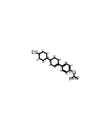 CCC1CCC(C2CC=C(c3ccc(OC(F)F)cc3)CC2)CC1